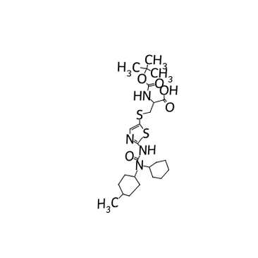 CC1CCC(N(C(=O)Nc2ncc(SCC(NC(=O)OC(C)(C)C)C(=O)O)s2)C2CCCCC2)CC1